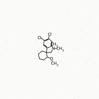 COC1CCCCC1(CN(C)C)c1ccc(Cl)c(Cl)c1